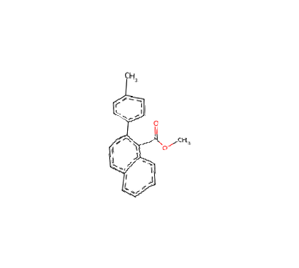 COC(=O)c1c(-c2ccc(C)cc2)ccc2ccccc12